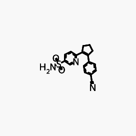 N#Cc1ccc(C2=C(c3ccc(S(N)(=O)=O)cn3)CCC2)cc1